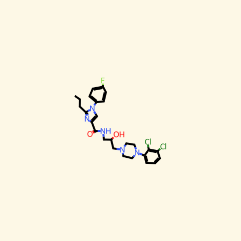 CCCc1nc(C(=O)NCC(O)CN2CCN(c3cccc(Cl)c3Cl)CC2)cn1-c1ccc(F)cc1